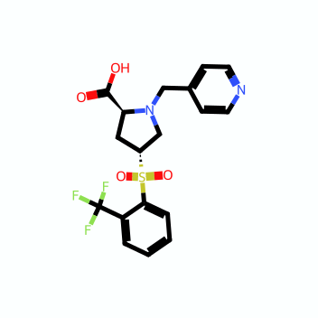 O=C(O)[C@@H]1C[C@@H](S(=O)(=O)c2ccccc2C(F)(F)F)CN1Cc1ccncc1